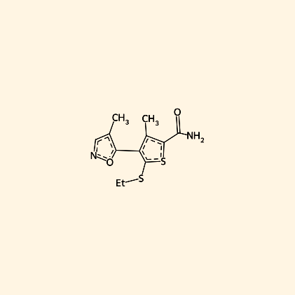 CCSc1sc(C(N)=O)c(C)c1-c1oncc1C